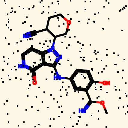 COC(=N)c1cc(Nc2nn(C3COCCC3C#N)c3cc[nH]c(=O)c23)ccc1O